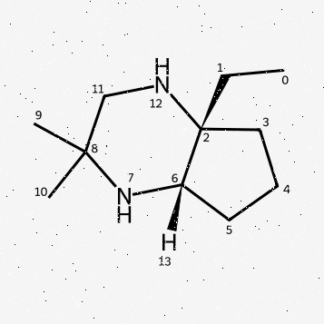 CC[C@@]12CCC[C@@H]1NC(C)(C)CN2